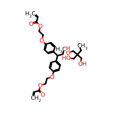 C=CC(=O)OCCOc1ccc(C(CC)c2ccc(OCCOC(=O)C=C)cc2)cc1.CCC(CO)(CO)CO